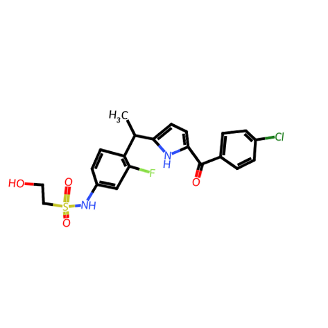 CC(c1ccc(C(=O)c2ccc(Cl)cc2)[nH]1)c1ccc(NS(=O)(=O)CCO)cc1F